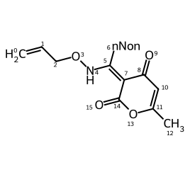 C=CCONC(CCCCCCCCC)=C1C(=O)C=C(C)OC1=O